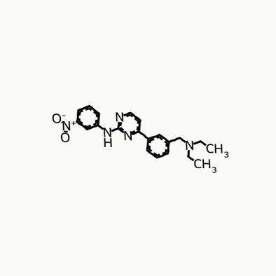 CCN(CC)Cc1cccc(-c2ccnc(Nc3cccc([N+](=O)[O-])c3)n2)c1